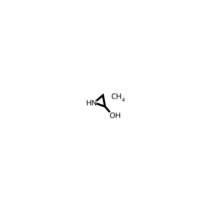 C.OC1CN1